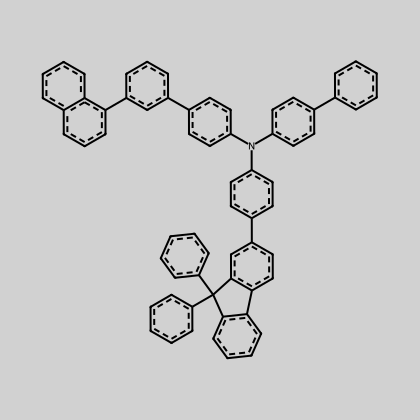 c1ccc(-c2ccc(N(c3ccc(-c4cccc(-c5cccc6ccccc56)c4)cc3)c3ccc(-c4ccc5c(c4)C(c4ccccc4)(c4ccccc4)c4ccccc4-5)cc3)cc2)cc1